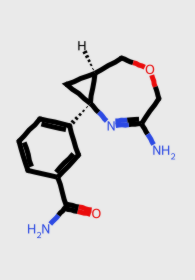 NC(=O)c1cccc([C@]23C[C@H]2COCC(N)=N3)c1